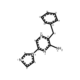 Nc1nc(-n2ccnc2)cnc1Cc1ccccc1